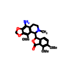 COc1ccc2c(c1OC)C(=O)OC2C1c2c(c(N)c3c(c2OC)OCO3)CCN1C